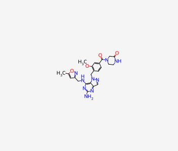 COc1cc(C(=O)N2CCNC(=O)C2)ccc1Cn1ncc2nc(N)nc(NCc3cc(C)on3)c21